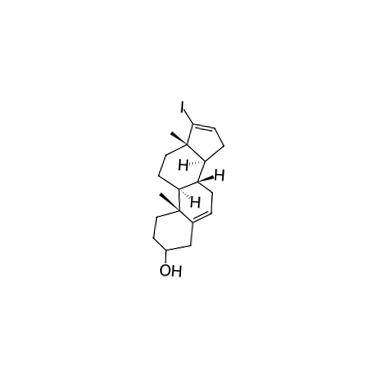 C[C@]12CCC(O)CC1=CC[C@@H]1[C@@H]2CC[C@]2(C)C(I)=CC[C@@H]12